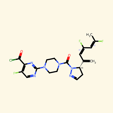 C=C(/C=C(F)\C=C(/C)F)[C@@H]1CC=NN1C(=O)N1CCN(c2ncc(F)c(C(=O)Cl)n2)CC1